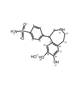 Cl.NS(=O)(=O)c1ccc(C2CNCCc3cc(O)c(O)cc32)cc1